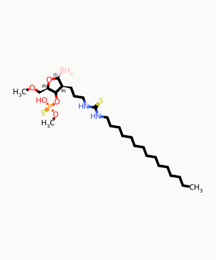 B[C@@H]1O[C@H](COC)C(OP(O)(=S)OC)[C@@H]1CCCNC(=S)NCCCCCCCCCCCCCCC